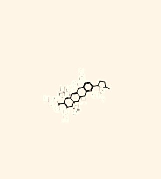 CC1CCC(c2cc(O)c3c(c2C(F)(F)F)C[C@H]2C[C@H]4[C@H](N(C)C)C(O)=C(C(N)=O)C(=O)[C@@]4(O)C(O)=C2C3=O)N1C